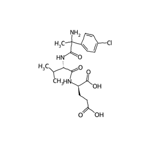 CC(C)[C@H](NC(=O)C(C)(N)c1ccc(Cl)cc1)C(=O)N[C@H](CCC(=O)O)C(=O)O